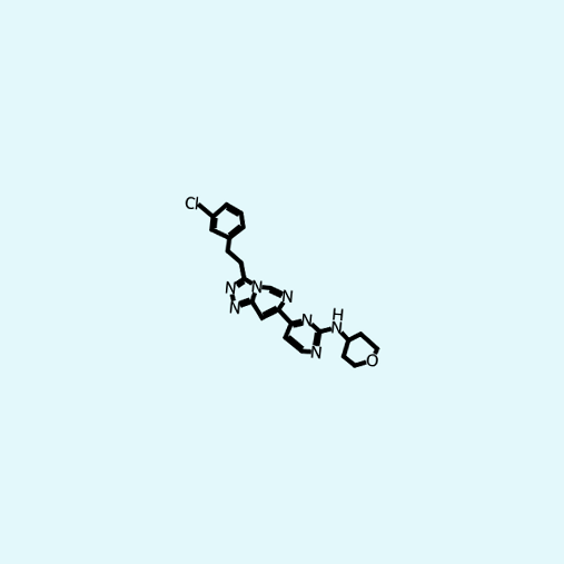 Clc1cccc(CCc2nnc3cc(-c4ccnc(NC5CCOCC5)n4)ncn23)c1